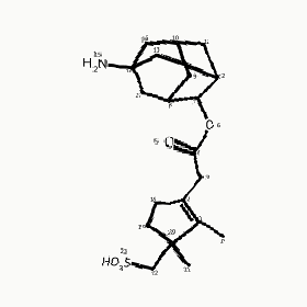 CC1=C(CC(=O)OC2C3CC4CC2CC(N)(C4)C3)CCC1(C)CS(=O)(=O)O